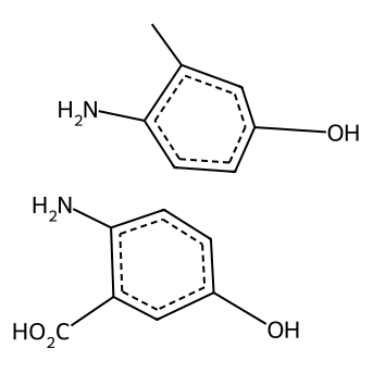 Cc1cc(O)ccc1N.Nc1ccc(O)cc1C(=O)O